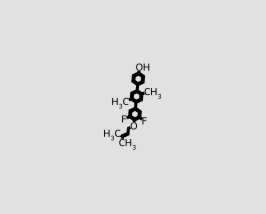 CC(C)=CCOc1c(F)cc(-c2cc(C)c(-c3ccc(O)cc3)cc2C)cc1F